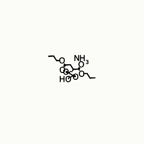 CCCOC(=O)CC(C(=O)OCCC)S(=O)(=O)O.N